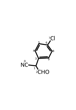 N#CC(C=O)c1ccc(Cl)cc1